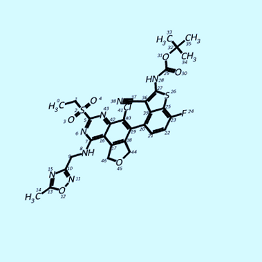 CCS(=O)(=O)c1nc(NCc2noc(C)n2)c2c3c(c(-c4ccc(F)c5sc(NC(=O)OC(C)(C)C)c(C#N)c45)c(Cl)c2n1)COC3